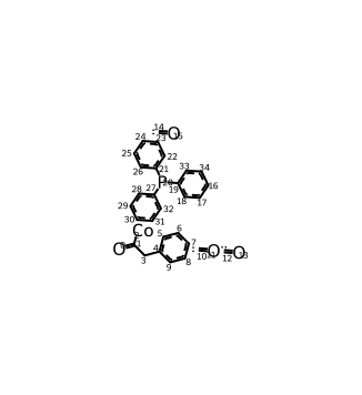 O=[C]([Co])Cc1ccccc1.[C]=O.[C]=O.[C]=O.c1ccc(P(c2ccccc2)c2ccccc2)cc1